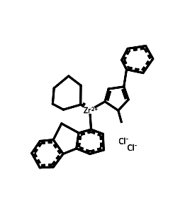 CC1C=C(c2ccccc2)C=[C]1[Zr+2](=[C]1CCCCC1)[c]1cccc2c1Cc1ccccc1-2.[Cl-].[Cl-]